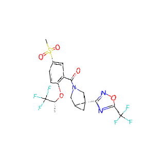 C[C@@H](Oc1ccc(S(C)(=O)=O)cc1C(=O)N1CC2C[C@]2(c2noc(C(F)(F)F)n2)C1)C(F)(F)F